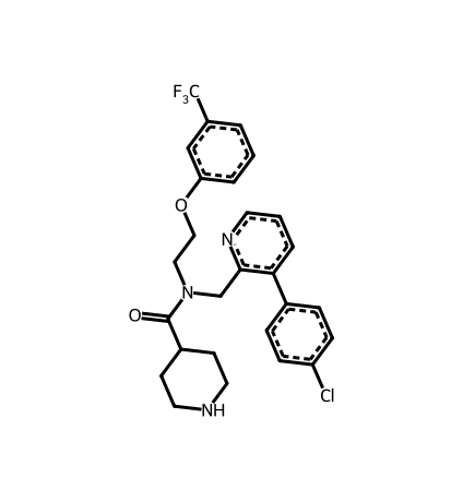 O=C(C1CCNCC1)N(CCOc1cccc(C(F)(F)F)c1)Cc1ncccc1-c1ccc(Cl)cc1